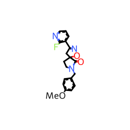 COc1ccc(CN2CCC3(CC(c4cccnc4F)=NO3)C2=O)cc1